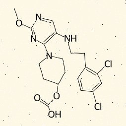 COc1ncc(NCCc2ccc(Cl)cc2Cl)c(N2CCC(OC(=O)O)CC2)n1